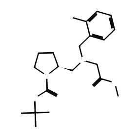 COC(=O)CN(Cc1ccccc1C)C[C@@H]1CCCN1C(=O)OC(C)(C)C